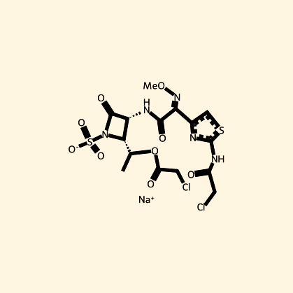 CO/N=C(\C(=O)N[C@H]1C(=O)N(S(=O)(=O)[O-])[C@H]1C(C)OC(=O)CCl)c1csc(NC(=O)CCl)n1.[Na+]